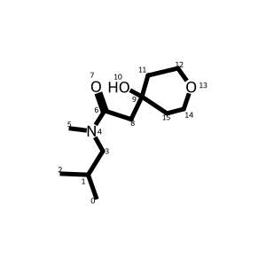 CC(C)CN(C)C(=O)CC1(O)CCOCC1